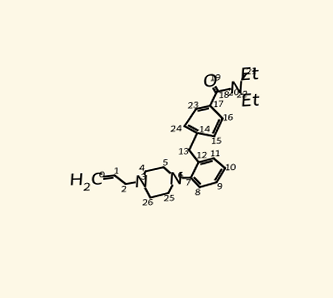 C=CCN1CCN(c2ccccc2Cc2ccc(C(=O)N(CC)CC)cc2)CC1